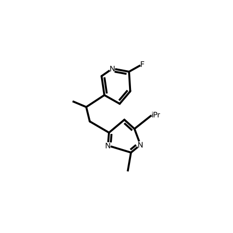 Cc1nc(CC(C)c2ccc(F)nc2)cc(C(C)C)n1